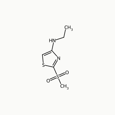 CCNc1csc(S(C)(=O)=O)n1